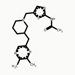 CC(=O)Nc1ncc(CN2CCCC(Cc3cnc(C)c(C)n3)C2)s1